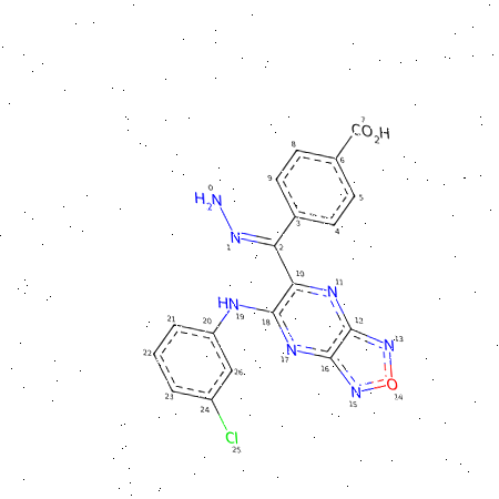 N/N=C(\c1ccc(C(=O)O)cc1)c1nc2nonc2nc1Nc1cccc(Cl)c1